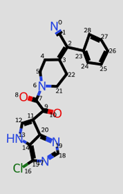 N#CC(=C1CCN(C(=O)C(=O)c2c[nH]c3c(Cl)ncnc23)CC1)c1ccccc1